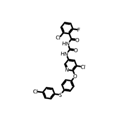 O=C(NC(=O)c1c(F)cccc1Cl)Nc1cnc(Oc2ccc(Sc3ccc(Cl)cc3)cc2)c(Cl)c1